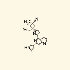 C[C@]1(C#N)C[C@@](CC#N)(n2ccc(-c3nc(-c4cn[nH]c4)cc4ncccc34)n2)C1